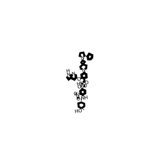 C[C@]1(O)CC[C@H](CNc2ccc(S(=O)(=O)NC(=O)c3ccc(N4CCC5(CC4)CC(N4CCC[C@H]4c4ccccc4)C5)cc3Oc3cnc4[nH]ccc4c3)cc2[N+](=O)[O-])CC1